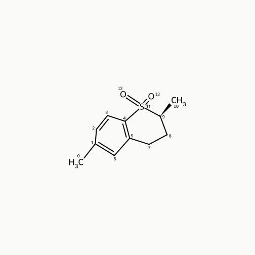 Cc1ccc2c(c1)CC[C@H](C)S2(=O)=O